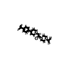 CC(C)c1ccc(C2CCN(CC(=O)N3CCN(C(C)C)CC3)CC2)cc1